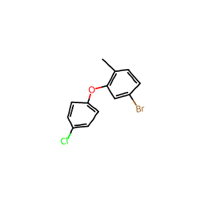 Cc1ccc(Br)cc1Oc1ccc(Cl)cc1